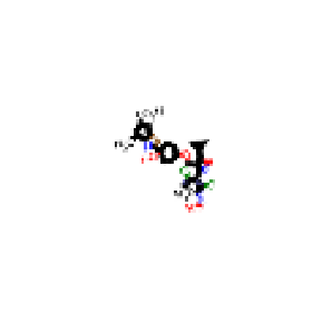 C\C=C(Cl)/C(=C(Cl)\C=N\O)c1noc(C2CC2)c1COC1CCC(O)(c2nc3c(C)cc(C(=O)O)cc3s2)CC1